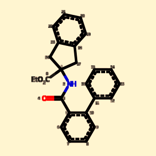 CCOC(=O)C1(NC(=O)c2ccccc2-c2ccccc2)Cc2ccccc2C1